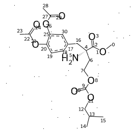 COC(=O)[C@@](N)(CCOC(=O)OCC(C)C)Cc1ccc(OC(C)=O)c(OC(C)=O)c1